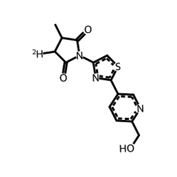 [2H]C1C(=O)N(c2csc(-c3ccc(CO)nc3)n2)C(=O)C1C